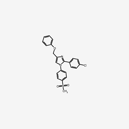 CS(=O)(=O)c1ccc(-n2cc(COc3ccccc3)nc2-c2ccc(Cl)cc2)cc1